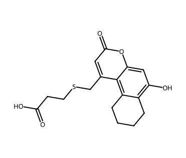 O=C(O)CCSCc1cc(=O)oc2cc(O)c3c(c12)CCCC3